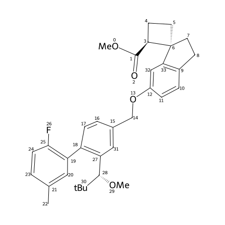 COC(=O)[C@H]1CC[C@@]12CCc1ccc(OCc3ccc(-c4cc(C)ccc4F)c([C@H](OC)C(C)(C)C)c3)cc12